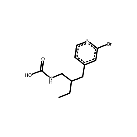 CCC(CNC(=O)O)Cc1ccnc(Br)c1